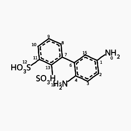 Nc1ccc(N)c(-c2cccc(S(=O)(=O)O)c2S(=O)(=O)O)c1